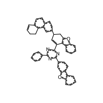 C1=Cc2ccc3ccc(C4C=C(c5nc(-c6ccccc6)nc(-c6ccc7c(c6)oc6ccccc67)n5)c5c(oc6ccccc56)C4)cc3c2CC1